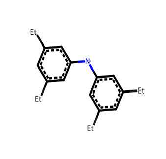 CCc1cc(CC)cc([N]c2cc(CC)cc(CC)c2)c1